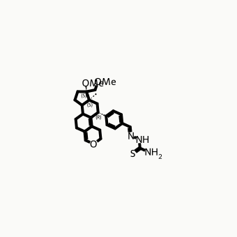 COC[C@]1(OC)CCC2C3CCC4=COCCC4=C3[C@@H](c3ccc(C=NNC(N)=S)cc3)C[C@@]21C